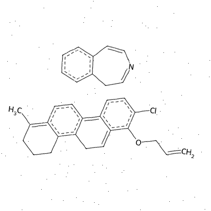 C1=Cc2ccccc2CC=N1.C=CCOc1c(Cl)ccc2c1=CCc1c3c(ccc1=2)=C(C)CCC3